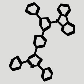 c1ccc(-c2cc(-c3ccc(-c4cc(-c5ccccc5)nc(-c5ccccc5)c4)cc3)cc(-n3c4ccccc4c4ccccc43)c2)cc1